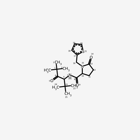 CC(C)(C)C(=O)C(NC(=O)C1CCC(=O)N1Cc1cccs1)C(C)(C)C